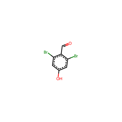 O=Cc1c(Br)cc(O)cc1Br